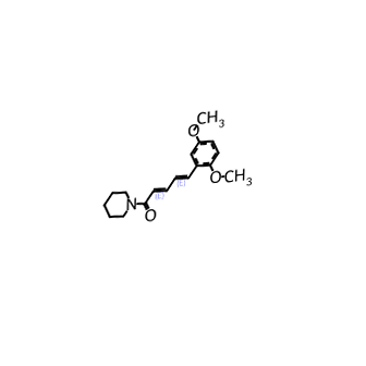 COc1ccc(OC)c(/C=C/C=C/C(=O)N2CCCCC2)c1